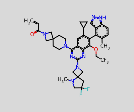 C=CC(=O)N1CC2(CCN(c3nc(N4CC5(C4)CC(F)(F)CN5C)nc4c(OCC(F)(F)F)c(-c5c(C)ccc6[nH]ncc56)c(C5CC5)cc34)CC2)C1